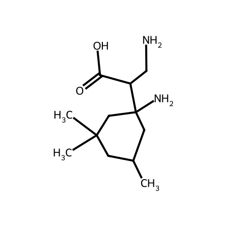 CC1CC(C)(C)CC(N)(C(CN)C(=O)O)C1